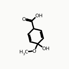 COC1(O)C=CC(C(=O)O)C=C1